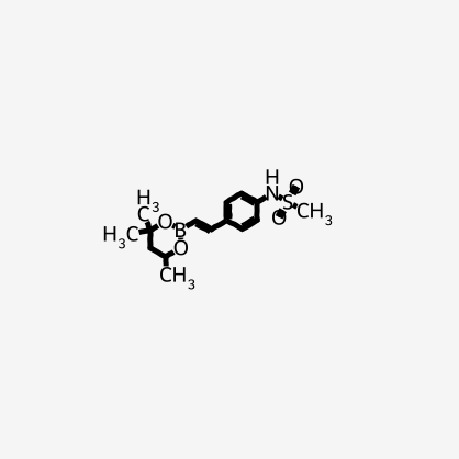 CC1CC(C)(C)OB(C=Cc2ccc(NS(C)(=O)=O)cc2)O1